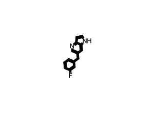 Fc1cccc(Cc2cnc3cc[nH]c3c2)c1